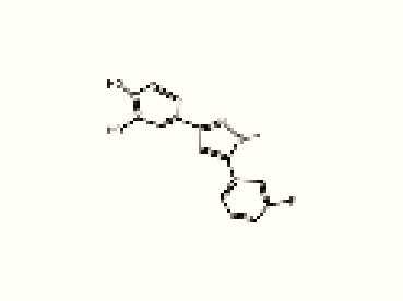 Cn1nc(-c2ccc(O)c(O)c2)cc1-c1cccc(F)c1